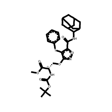 COC(=O)[C@H](COc1noc(C(=O)NC2C3CC4CC(C3)CC2C4)c1Sc1ccccc1)NC(=O)OC(C)(C)C